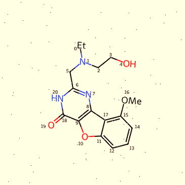 CCN(CCO)Cc1nc2c(oc3cccc(OC)c32)c(=O)[nH]1